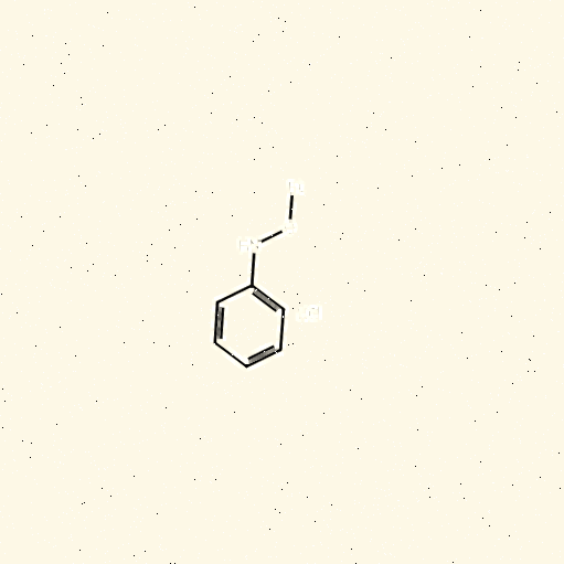 CCONc1ccccc1.Cl